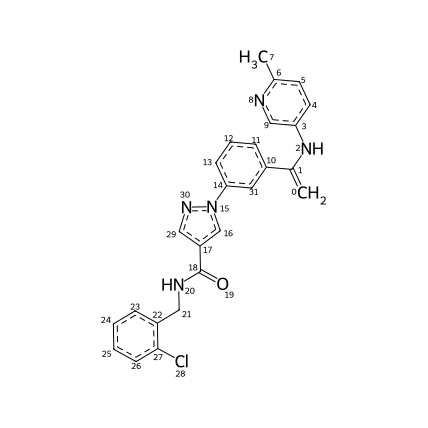 C=C(Nc1ccc(C)nc1)c1cccc(-n2cc(C(=O)NCc3ccccc3Cl)cn2)c1